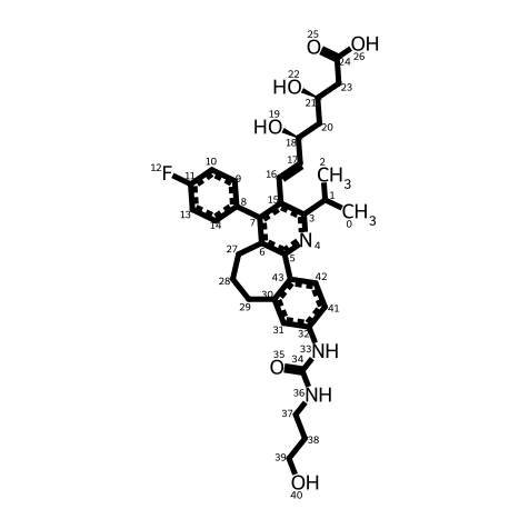 CC(C)c1nc2c(c(-c3ccc(F)cc3)c1/C=C/[C@@H](O)C[C@@H](O)CC(=O)O)CCCc1cc(NC(=O)NCCCO)ccc1-2